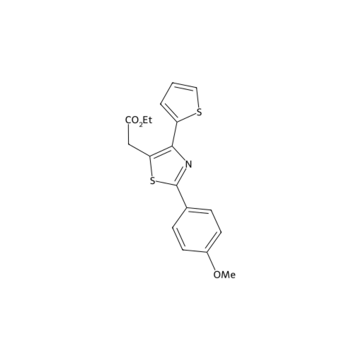 CCOC(=O)Cc1sc(-c2ccc(OC)cc2)nc1-c1cccs1